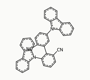 N#Cc1ccc(-n2c3ccccc3c3ccccc32)cc1-c1c(C#N)cccc1-n1c2ccccc2c2ccccc21